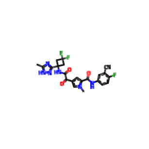 Cc1nc(C2(NC(=O)C(=O)c3cc(C(=O)Nc4ccc(F)c(C#N)c4)n(C)c3)CC(F)(F)C2)n[nH]1